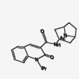 CC(=O)N1C2CCC1CC(NC(=O)c1cc3ccccc3n(C(C)C)c1=O)C2